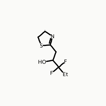 CCC(F)(F)C(O)CC1=N[CH]CS1